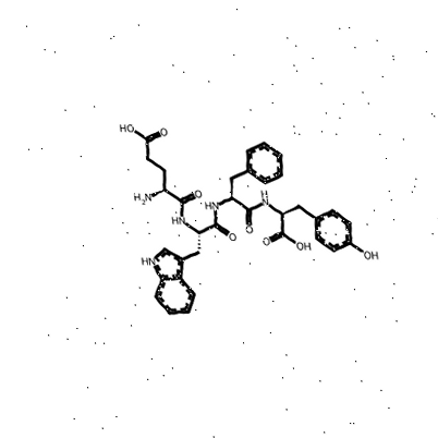 N[C@@H](CCC(=O)O)C(=O)N[C@@H](Cc1c[nH]c2ccccc12)C(=O)N[C@@H](Cc1ccccc1)C(=O)N[C@@H](Cc1ccc(O)cc1)C(=O)O